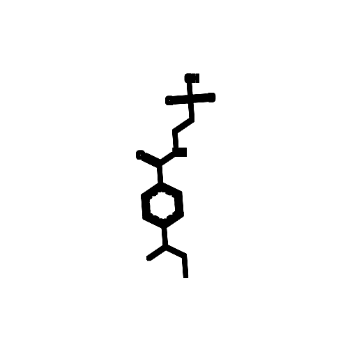 CCC(C)c1ccc(C(=O)NCCS(=O)(=O)O)cc1